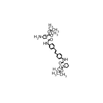 CC(C)(C)OC(=O)N1CCC[C@H]1C(=O)Nc1ccc(/C=C/c2ccc(NC(=O)[C@@H]3C[C@H](N)CN3C(=O)OC(C)(C)C)cc2)cc1